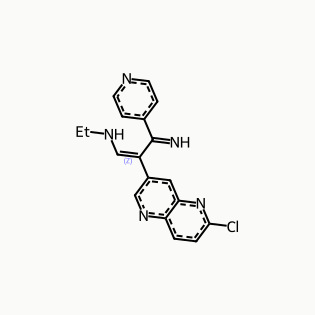 CCN/C=C(\C(=N)c1ccncc1)c1cnc2ccc(Cl)nc2c1